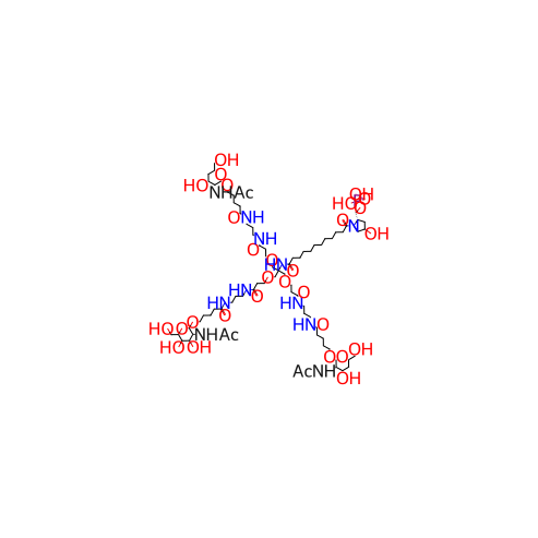 CC(=O)NC1C(O)CC(CO)OC1OCCCCC(=O)NCCCNC(=O)CCOCC(COCCC(=O)NCCCNC(=O)CCCCOC1OC(CO)C(O)C(O)C1NC(C)=O)(COCCC(=O)NCCCNC(=O)CCCCOC1OC(CO)CC(O)[C@@H]1NC(C)=O)NC(=O)CCCCCCCCCCC(=O)N1C[C@H](O)C[C@H]1COP(=O)(O)O